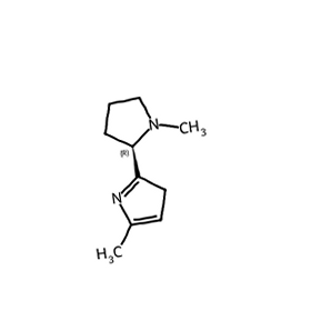 CC1=CCC([C@H]2CCCN2C)=N1